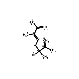 C=C(C)C(C)=CCC(C)(O)C(=C)C